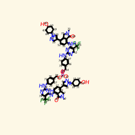 CN1Cc2c(-c3cnn(C4CCC(O)CC4)c3)ccc(Nc3nc(Nc4ccc(CO[PH](=O)OCc5ccc(Nc6ncc(C(F)(F)F)c(Nc7ccc(-c8cnn(C9CCC(O)CC9)c8)c8c7C(=O)N(C)C8)n6)cc5)cc4)ncc3C(F)(F)F)c2C1=O